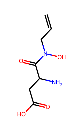 C=CCN(O)C(=O)C(N)CC(=O)O